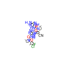 CC1C(Cl)=C(F)C=CC1[C@@H]1CC[C@@H](C)CN1C(=O)C(=O)Nc1cnc(N)c2c[n+](-c3cc(C#N)cc([C@H]4CC[C@H](C)CN4C(=O)C(=O)Nc4cnc(N)c5cn[nH]c45)c3)[nH]c12